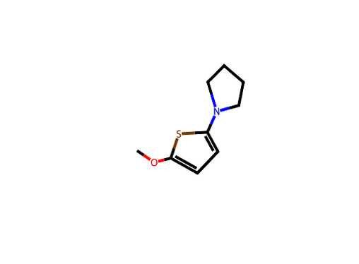 COc1ccc(N2CCCC2)s1